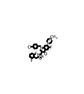 CN1CCN(c2cc3c(cc2F)c(=O)c(-c2noc(Cc4c(F)cccc4F)n2)cn3Cc2ccc(Cl)cc2)CC1